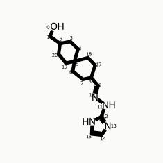 OCC1CCC2(CCC(C=NNc3ncc[nH]3)CC2)CC1